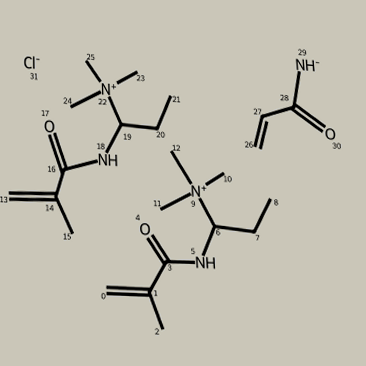 C=C(C)C(=O)NC(CC)[N+](C)(C)C.C=C(C)C(=O)NC(CC)[N+](C)(C)C.C=CC([NH-])=O.[Cl-]